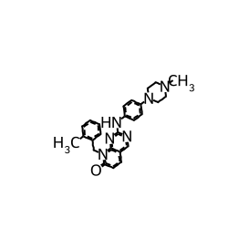 Cc1ccccc1Cn1c(=O)ccc2cnc(Nc3ccc(N4CCN(C)CC4)cc3)nc21